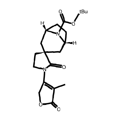 CC1=C(N2CC[C@@]3(C[C@H]4CC[C@@H](C3)N4C(=O)OC(C)(C)C)C2=O)COC1=O